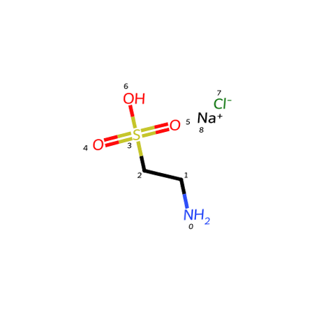 NCCS(=O)(=O)O.[Cl-].[Na+]